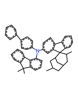 CC1CC2CC(C)C3(c4ccccc4-c4ccc(N(c5ccc(-c6ccccc6)cc5)c5cccc6c5-c5ccccc5C6(C)C)cc43)C(C1)C2